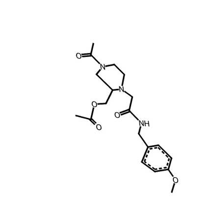 COc1ccc(CNC(=O)CN2CCN(C(C)=O)CC2COC(C)=O)cc1